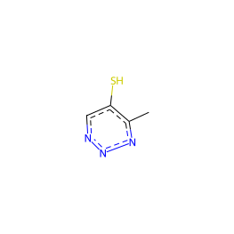 Cc1nnncc1S